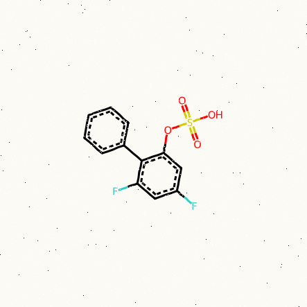 O=S(=O)(O)Oc1cc(F)cc(F)c1-c1ccccc1